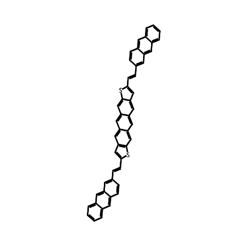 C(=C\c1cc2cc3cc4cc5sc(/C=C/c6ccc7cc8ccccc8cc7c6)cc5cc4cc3cc2s1)/c1ccc2cc3ccccc3cc2c1